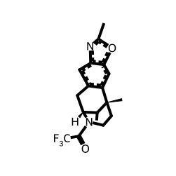 Cc1nc2cc3c(cc2o1)[C@]1(C)CCN(C(=O)C(F)(F)F)[C@H](C3)C1C